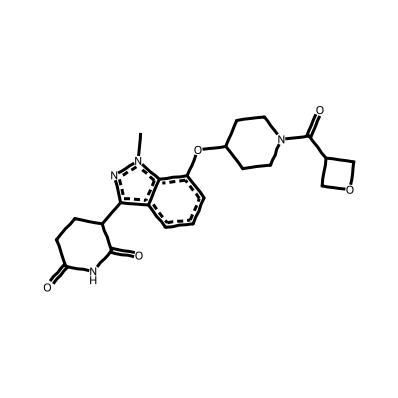 Cn1nc(C2CCC(=O)NC2=O)c2cccc(OC3CCN(C(=O)C4COC4)CC3)c21